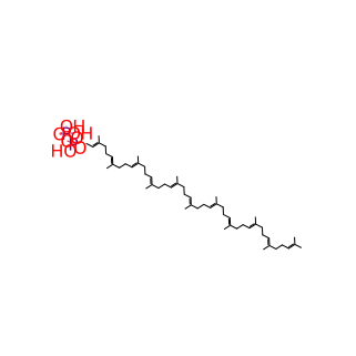 CC(C)=CCCC(C)=CCCC(C)=CCCC(C)=CCCC(C)=CCCC(C)=CCCC(C)=CCCC(C)=CCCC(C)=CCCC(C)=CCCC(C)=CCOP(=O)(O)OP(=O)(O)O